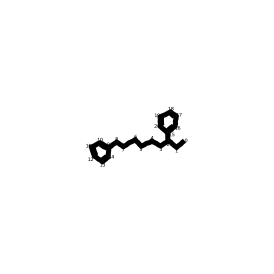 CCC(C[CH]CCCCc1ccccc1)c1ccccc1